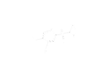 COc1ccc(S(=O)(=O)C2COC2)cc1Br